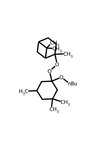 CCCCOC1(OOC2(C)CCC3CC2C3(C)C)CC(C)CC(C)(C)C1